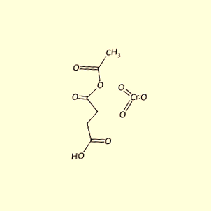 CC(=O)OC(=O)CCC(=O)O.[O]=[Cr](=[O])=[O]